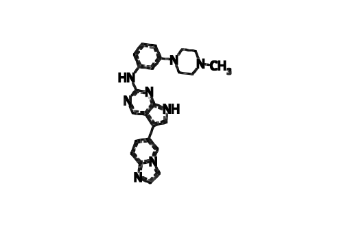 CN1CCN(c2cccc(Nc3ncc4c(-c5ccc6nccn6c5)c[nH]c4n3)c2)CC1